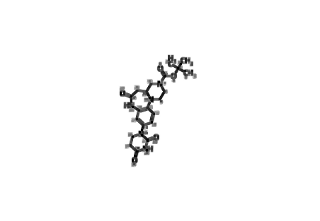 CC(C)(C)OC(=O)N1CCN2c3ccc(N4CCC(=O)NC4=O)cc3NC(=O)CC2C1